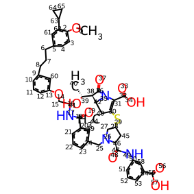 COc1ccc(CCCc2cccc(OCCNC(=O)c3cccc(CN4C[C@@H](SC5=C(C(=O)O)N6C(=O)[C@H]([C@@H](C)O)C6[C@H]5C)C[C@H]4C(=O)Nc4cccc(C(=O)O)c4)c3)c2)cc1C1CC1